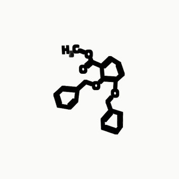 COC(=O)c1cccc(OCc2ccccc2)c1OCc1ccccc1